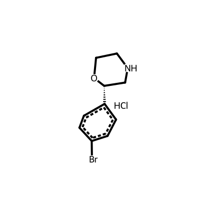 Brc1ccc([C@H]2CNCCO2)cc1.Cl